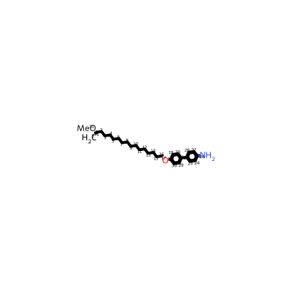 C=C(CCCCCCCCCCCCCCCOc1ccc(-c2ccc(N)cc2)cc1)OC